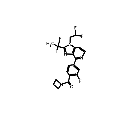 CC(F)(F)c1nc2c(-c3ccc(C(=O)N4CCC4)c(F)c3)nccc2n1CC(F)F